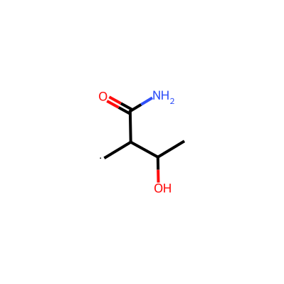 [CH2]C(C(N)=O)C(C)O